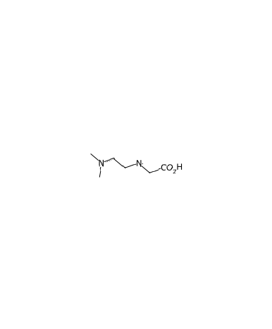 CN(C)CC[N]CC(=O)O